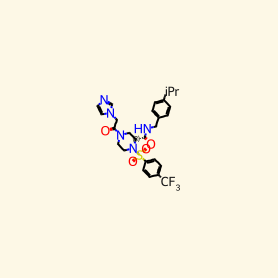 CC(C)c1ccc(CNC(=O)[C@H]2CN(C(=O)Cn3ccnc3)CCN2S(=O)(=O)c2ccc(C(F)(F)F)cc2)cc1